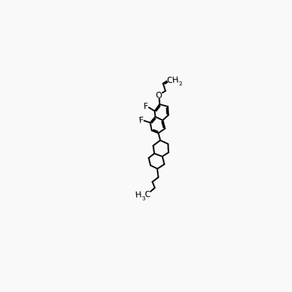 C=CCOc1ccc2cc(C3CCC4CC(CCCC)CCC4C3)cc(F)c2c1F